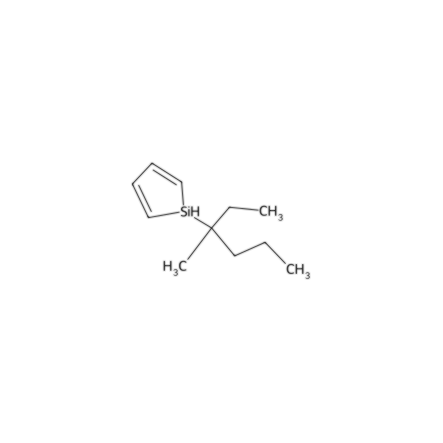 CCCC(C)(CC)[SiH]1C=CC=C1